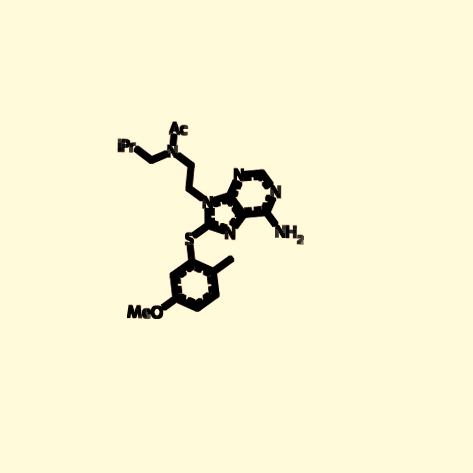 COc1ccc(C)c(Sc2nc3c(N)ncnc3n2CCN(CC(C)C)C(C)=O)c1